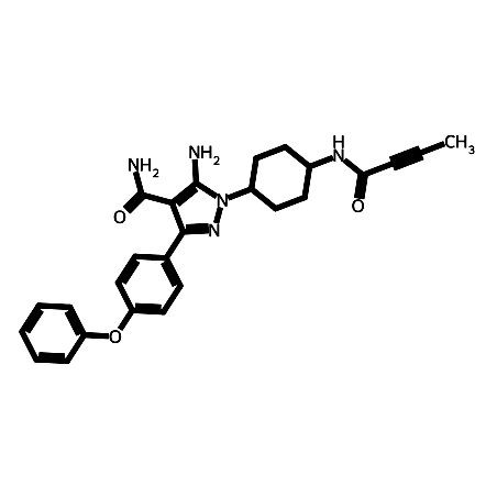 CC#CC(=O)NC1CCC(n2nc(-c3ccc(Oc4ccccc4)cc3)c(C(N)=O)c2N)CC1